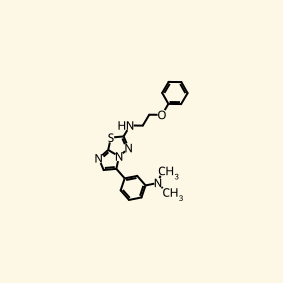 CN(C)c1cccc(-c2cnc3sc(NCCOc4ccccc4)nn23)c1